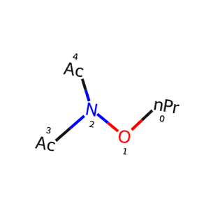 CCCON(C(C)=O)C(C)=O